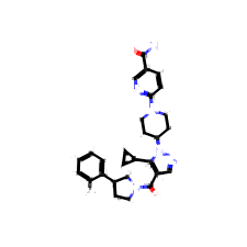 NC(=O)c1ccc(N2CCC(n3ncc(C(=O)N4CCC(c5ccccc5C(F)(F)F)C4)c3C3CC3)CC2)nc1